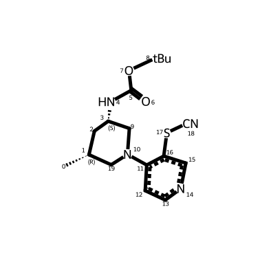 C[C@@H]1C[C@H](NC(=O)OC(C)(C)C)CN(c2ccncc2SC#N)C1